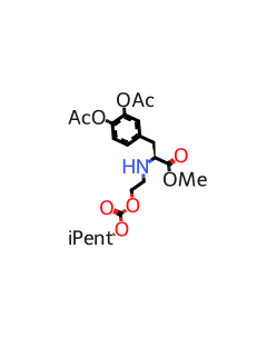 CCCC(C)OC(=O)OCCN[C@@H](Cc1ccc(OC(C)=O)c(OC(C)=O)c1)C(=O)OC